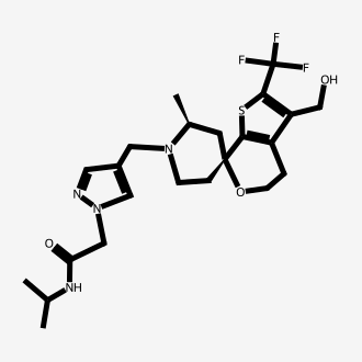 CC(C)NC(=O)Cn1cc(CN2CC[C@]3(C[C@@H]2C)OCCc2c3sc(C(F)(F)F)c2CO)cn1